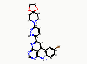 Nc1ncnc2nc(-c3ccc(N4CCC5(CC4)OCCO5)nn3)cc(-c3cccc(Br)c3)c12